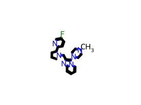 CN1CCN(c2c(CN3CCCC3c3ccc(F)cn3)nc3ccccn23)CC1